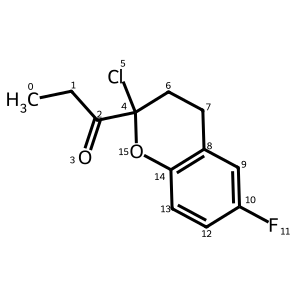 CCC(=O)C1(Cl)CCc2cc(F)ccc2O1